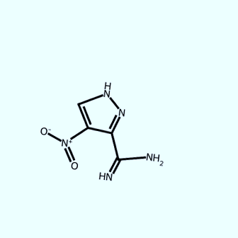 N=C(N)c1n[nH]cc1[N+](=O)[O-]